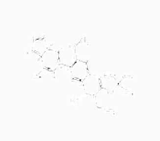 CCN(C(=O)OC(C)(C)C)[C@H](C)c1cc(-c2nc(Cl)c3nccn3n2)c(OC)cn1